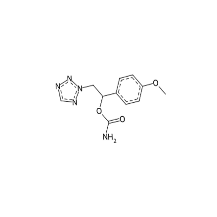 COc1ccc(C(Cn2ncnn2)OC(N)=O)cc1